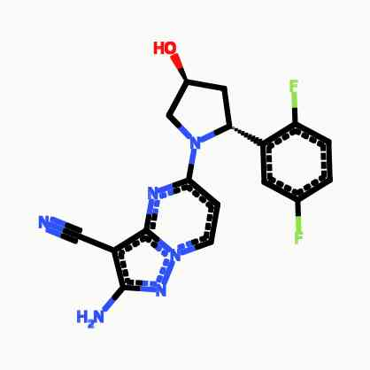 N#Cc1c(N)nn2ccc(N3C[C@@H](O)C[C@@H]3c3cc(F)ccc3F)nc12